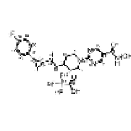 O=C(NO)c1cnc(N2CCC(CN[C@H]3C[C@@H]3c3ccc(F)cc3)CC2)nc1.O=C(O)C(F)(F)F